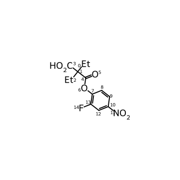 CCC(CC)(C(=O)O)C(=O)Oc1ccc([N+](=O)[O-])cc1F